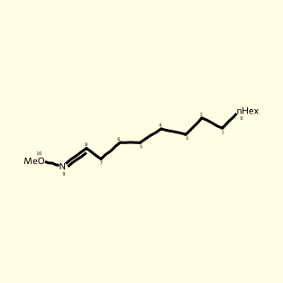 CCCCCCCCCCCCCC=NOC